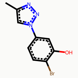 Cc1cn(-c2ccc(Br)c(O)c2)nn1